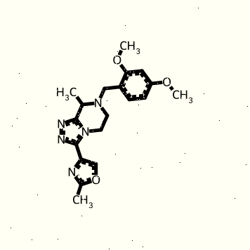 COc1ccc(CN2CCn3c(-c4coc(C)n4)nnc3C2C)c(OC)c1